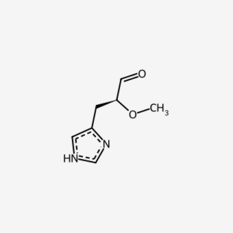 CO[C@H](C=O)Cc1c[nH]cn1